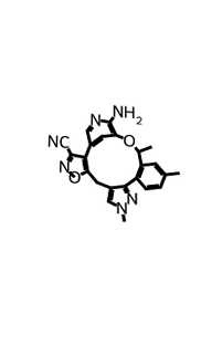 Cc1ccc2c(c1)C(C)Oc1cc(cnc1N)-c1c(C#N)noc1Cc1cn(C)nc1-2